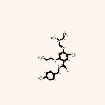 CCCOc1cc(/N=C/N(C)CC)c(C)cc1C(=O)OCc1ccc(C)cc1